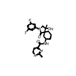 Cc1nccc(C(=O)NC2CCCC3(C2)C(=O)N(c2cc(F)cc(F)c2)CC3(C)O)n1